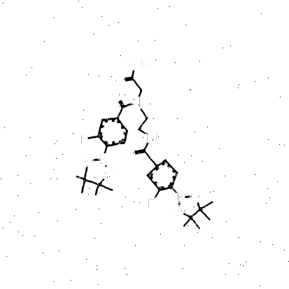 CC1(C)OB(c2ccc(C(=O)NCCN(CC(=O)O)C(=O)c3ccc(B4OC(C)(C)C(C)(C)O4)c(F)c3)cc2F)OC1(C)C